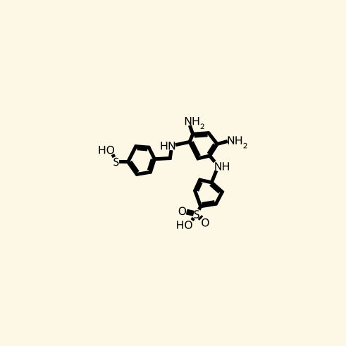 Nc1cc(N)c(Nc2ccc(S(=O)(=O)O)cc2)cc1NCc1ccc(SO)cc1